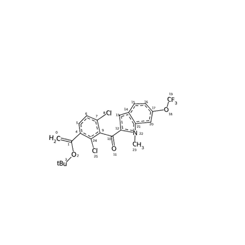 C=C(OC(C)(C)C)c1ccc(Cl)c(C(=O)c2cc3ccc(OC(F)(F)F)cc3n2C)c1Cl